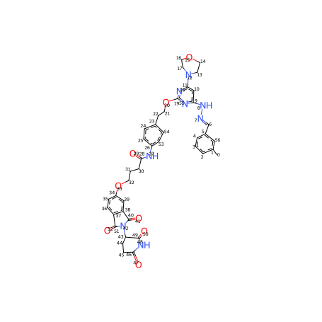 Cc1cccc(/C=N/Nc2cc(N3CCOCC3)nc(OCCc3ccc(NC(=O)CCCOc4ccc5c(c4)C(=O)N(C4CCC(=O)NC4=O)C5=O)cc3)n2)c1